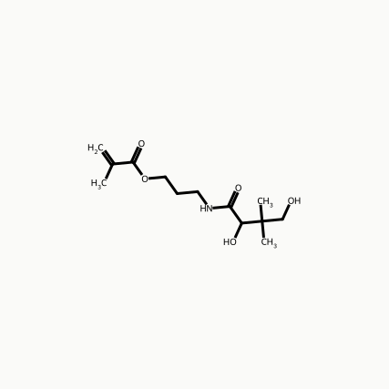 C=C(C)C(=O)OCCCNC(=O)C(O)C(C)(C)CO